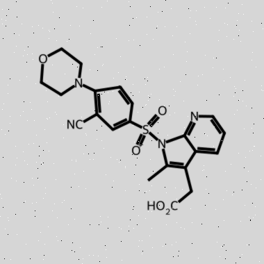 Cc1c(CC(=O)O)c2cccnc2n1S(=O)(=O)c1ccc(N2CCOCC2)c(C#N)c1